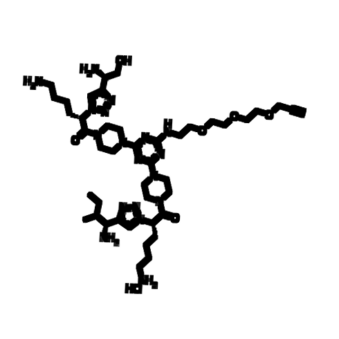 C#CCOCCOCCOCCNc1nc(N2CCN(C(=O)[C@H](CCCCN)n3cc([C@@H](N)C(C)CC)nn3)CC2)nc(N2CCN(C(=O)[C@H](CCCCN)n3cc([C@@H](N)CO)nn3)CC2)n1.Cl